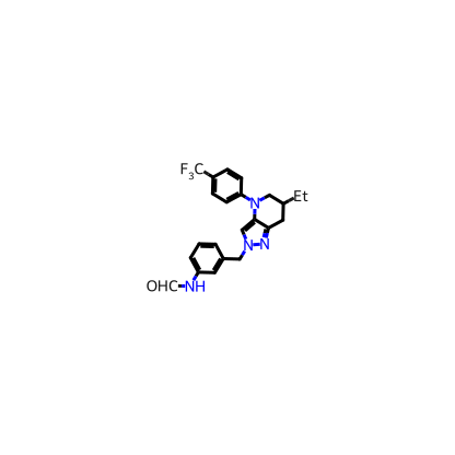 CCC1Cc2nn(Cc3cccc(NC=O)c3)cc2N(c2ccc(C(F)(F)F)cc2)C1